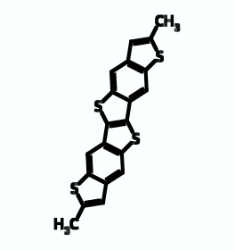 Cc1cc2cc3sc4c5cc6sc(C)cc6cc5sc4c3cc2s1